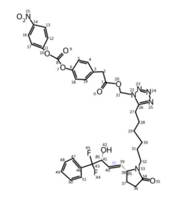 O=C(Cc1ccc(OC(=O)Oc2ccc([N+](=O)[O-])cc2)cc1)OCn1nnnc1CCCCCCN1C(=O)CC[C@@H]1/C=C/[C@@H](O)C(F)(F)c1ccccc1